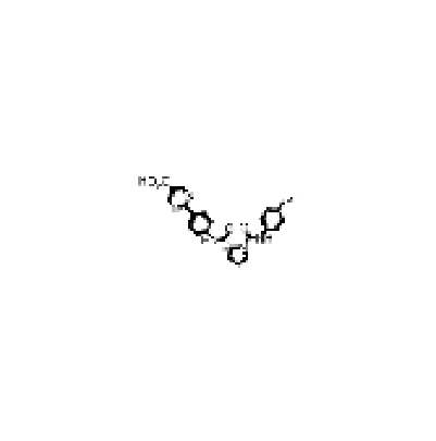 CC(C)c1ccc(NC(=O)N2CCC[C@@H]2C(=O)Nc2ccc(-c3ncc(C(=O)O)cn3)cc2)cc1